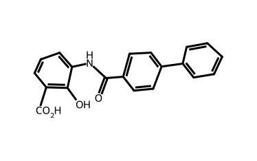 O=C(Nc1cccc(C(=O)O)c1O)c1ccc(-c2ccccc2)cc1